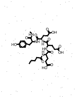 CCCCC(=O)NC(CCC(=O)O)C(=O)NC(CCC(=O)O)C(=O)NC(CCC(=O)O)C(=O)NC(Cc1ccc(O)cc1)C(=O)NC